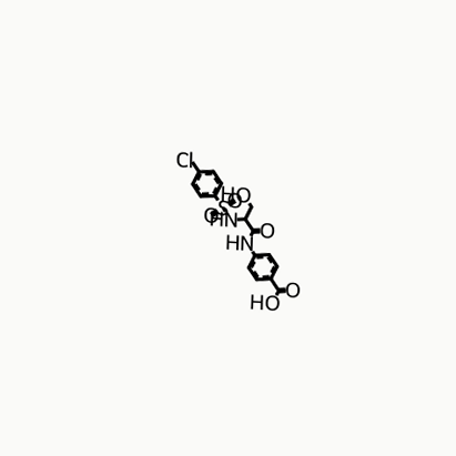 O=C(O)c1ccc(NC(=O)C(CO)NS(=O)(=O)c2ccc(Cl)cc2)cc1